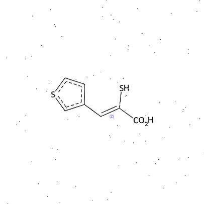 O=C(O)/C(S)=C/c1ccsc1